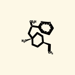 C=C[C@H]1CC[C@@](C)(CN(C(=O)O)c2cccnn2)CC1